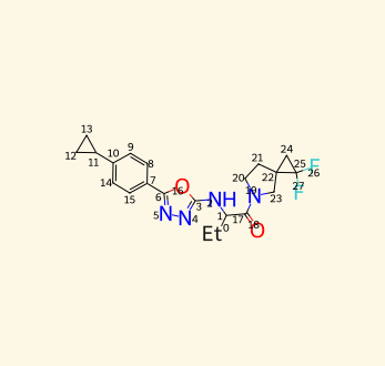 CCC(Nc1nnc(-c2ccc(C3CC3)cc2)o1)C(=O)N1CCC2(C1)CC2(F)F